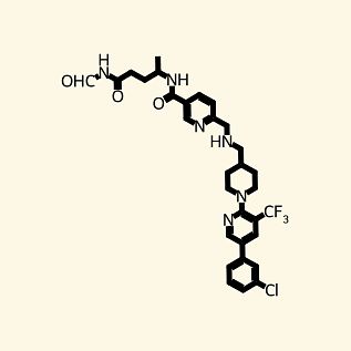 CC(CCC(=O)NC=O)NC(=O)c1ccc(CNCC2CCN(c3ncc(-c4cccc(Cl)c4)cc3C(F)(F)F)CC2)nc1